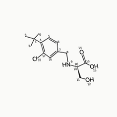 CC(C)(C)c1ccc(CN[C@H](CO)C(=O)O)cc1Cl